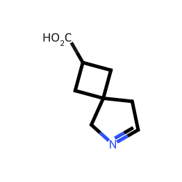 O=C(O)C1CC2(CC=NC2)C1